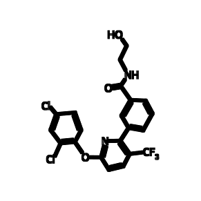 O=C(NCCO)c1cccc(-c2nc(Oc3ccc(Cl)cc3Cl)ccc2C(F)(F)F)c1